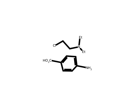 CCN(CC)CCCl.Nc1ccc(C(=O)O)cc1